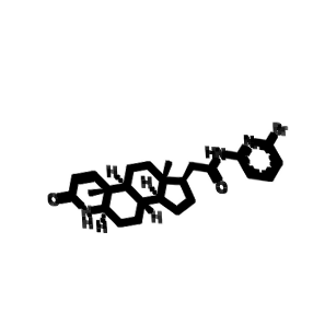 C[C@]12C=CC(=O)N[C@@H]1CC[C@@H]1[C@@H]2CC[C@]2(C)[C@@H](CC(=O)Nc3cccc(Br)n3)CC[C@@H]12